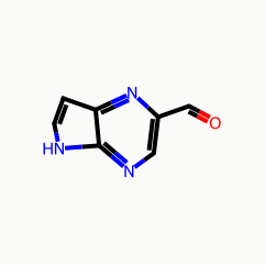 O=Cc1cnc2[nH]ccc2n1